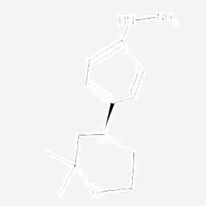 CC1(C)C[C@@H](c2ccc(NN)cc2)CCO1